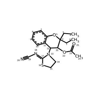 CCC1(CC)Oc2ccccc2C(N2CCSC2=NC#N)C1OC(C)=O